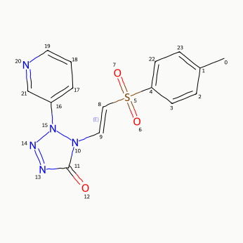 Cc1ccc(S(=O)(=O)/C=C/n2c(=O)nnn2-c2cccnc2)cc1